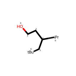 CC(C)C(CCO)CC(C)(C)C